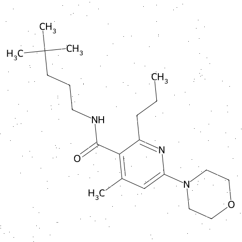 CCCc1nc(N2CCOCC2)cc(C)c1C(=O)NCCCC(C)(C)C